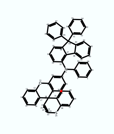 c1ccc(N(c2ccc3c(c2)Oc2ccccc2C32c3ccccc3Sc3ccccc32)c2cccc3c2-c2ccccc2C3(c2ccccc2)c2ccccc2)cc1